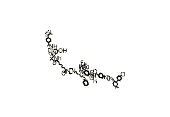 Cc1ncsc1-c1ccc([C@H](C)NC(=O)[C@@H]2C[C@@H](O)CN2C(=O)[C@@H](NC(=O)CCCCCC(=O)N2CCN(CC[C@H](CSc3ccccc3)Nc3ccc(S(=O)(=O)NC(=O)c4ccc(N5CCN(CC6=C(c7ccc(Cl)cc7)CC(C)(C)CC6)CC5)cc4)cc3S(=O)(=O)C(F)(F)F)CC2)C(C)(C)C)cc1